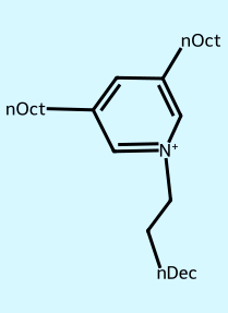 CCCCCCCCCCCC[n+]1cc(CCCCCCCC)cc(CCCCCCCC)c1